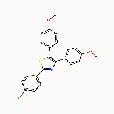 COc1ccc(-c2nc(-c3ccc(Br)cc3)sc2-c2ccc(OC)cc2)cc1